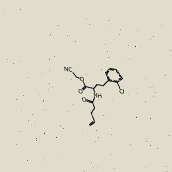 C=CCCC(=O)NC(CCc1ccccc1Cl)C(=O)OCC#N